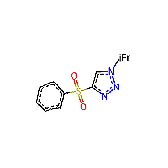 CC(C)n1cc(S(=O)(=O)c2ccccc2)nn1